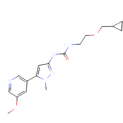 COc1cncc(-c2cc(NC(=O)NCCOCC3CC3)nn2C)c1